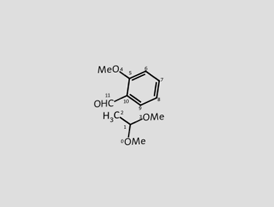 COC(C)OC.COc1ccccc1C=O